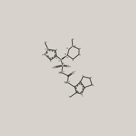 Cc1sc2c(c1NC(=O)NS(=O)(=O)N(c1cnn(C)c1)[C@@H]1CCCN(C)C1)CCC2